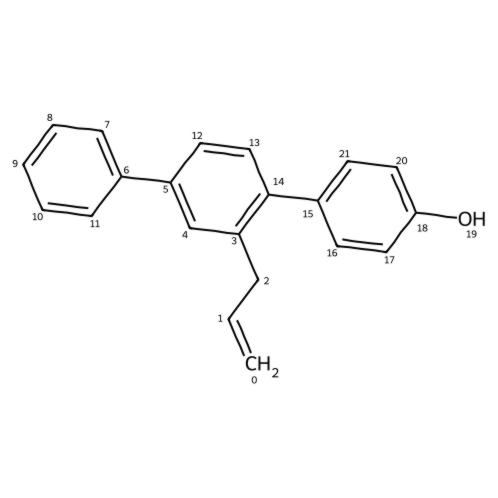 C=CCc1cc(-c2ccccc2)ccc1-c1ccc(O)cc1